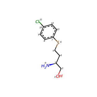 N[C@H](CO)CCSc1ccc(Cl)cc1